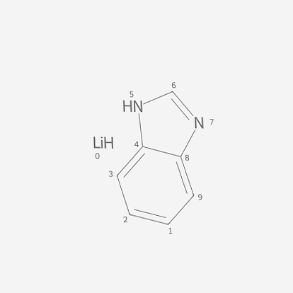 [LiH].c1ccc2[nH]cnc2c1